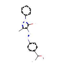 CCCC(OC=O)c1ccc(N=Nc2c(C)nn(-c3ccccc3)c2O)cc1